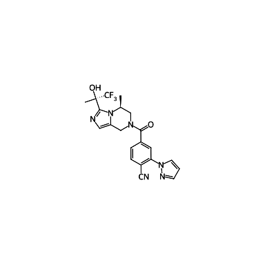 C[C@H]1CN(C(=O)c2ccc(C#N)c(-n3cccn3)c2)Cc2cnc([C@@](C)(O)C(F)(F)F)n21